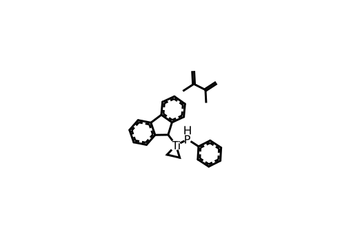 C=C(C)C(=C)C.c1ccc([PH][Ti]2([CH]3c4ccccc4-c4ccccc43)[CH2][CH2]2)cc1